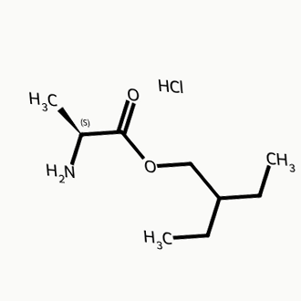 CCC(CC)COC(=O)[C@H](C)N.Cl